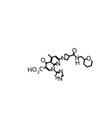 Cc1cc(N2CC(C(=O)NCC3CCCCO3)C2)nc2c1c(=O)c(C(=O)O)cn2-c1ncns1